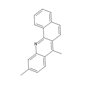 Cc1ccc2c(C)c3ccc4ccccc4c3nc2c1